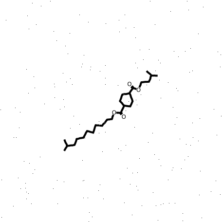 CC(C)CCCCCCCCCOC(=O)C1CCC(C(=O)OCCC(C)C)CC1